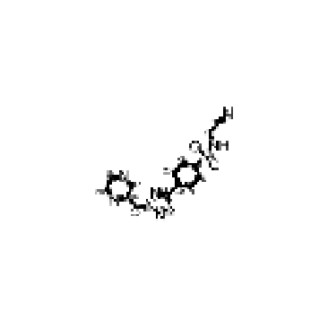 N#CCNS(=O)(=O)c1ccc(-c2nnn(Cc3cnccn3)n2)cc1